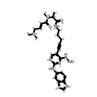 CCCNc1nc(Nc2ccc3ncsc3c2)ncc1C#CCCCNC(=O)C(C)N(C)C(=O)C=CCN(C)C